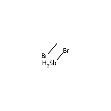 CBr.[Br][SbH2]